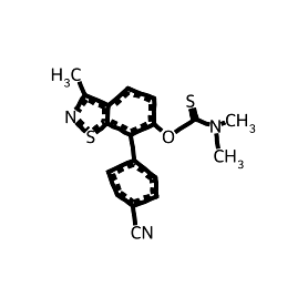 Cc1nsc2c(-c3ccc(C#N)cc3)c(OC(=S)N(C)C)ccc12